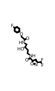 O=C(COc1ccc(F)cc1)NC[C@@H](O)CCNC(=O)c1cc(C(F)F)no1